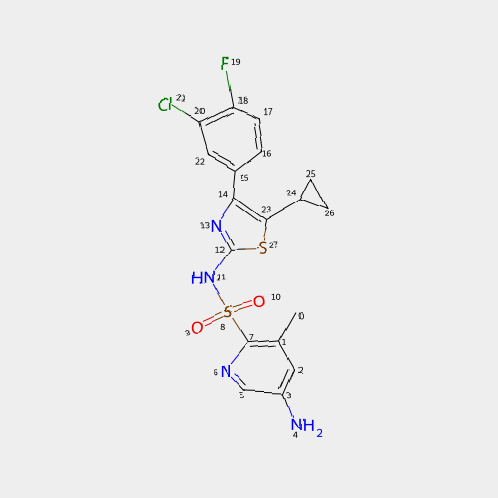 Cc1cc(N)cnc1S(=O)(=O)Nc1nc(-c2ccc(F)c(Cl)c2)c(C2CC2)s1